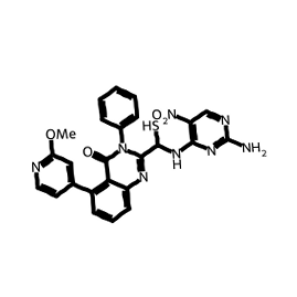 COc1cc(-c2cccc3nc(C(S)Nc4nc(N)ncc4[N+](=O)[O-])n(-c4ccccc4)c(=O)c23)ccn1